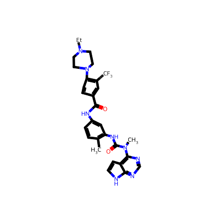 CCN1CCN(c2ccc(C(=O)Nc3ccc(C)c(NC(=O)N(C)c4ncnc5[nH]ccc45)c3)cc2C(F)(F)F)CC1